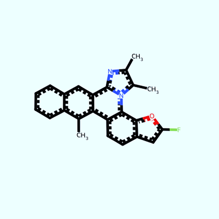 Cc1nc2c3cc4ccccc4c(C)c3c3ccc4cc(F)oc4c3n2c1C